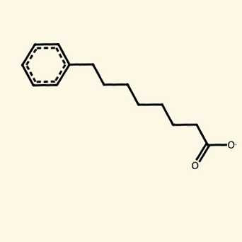 [O]C(=O)CCCCCCCc1ccccc1